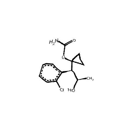 C[C@@H](O)[C@@H](c1ccccc1Cl)C1(OC(N)=O)CC1